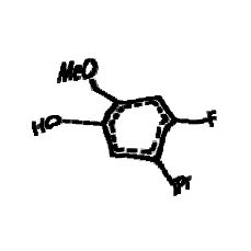 COc1cc(F)c(C(C)C)cc1O